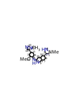 CN/C=C(\C=N)c1ccc2cnc(Nc3ccc(-c4cncn4C)cc3OC)cc2c1